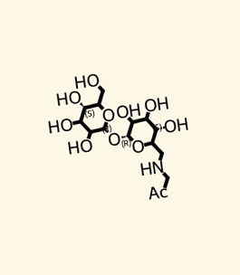 CC(=O)CNCC1O[C@H](O[C@H]2OC(CO)[C@@H](O)C(O)C2O)C(O)C(O)[C@@H]1O